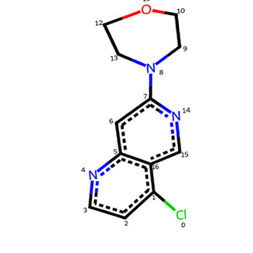 Clc1ccnc2cc(N3CCOCC3)ncc12